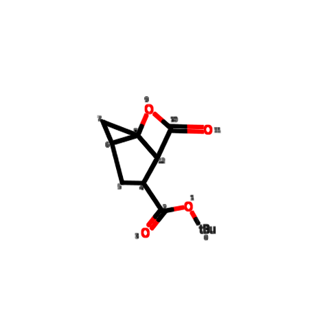 CC(C)(C)OC(=O)C1CC2CC23OC(=O)C13